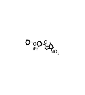 Cc1ccc([N+](=O)[O-])c2ccn(C(=O)c3ccc(OCc4ccccc4)c(C(C)C)c3)c12